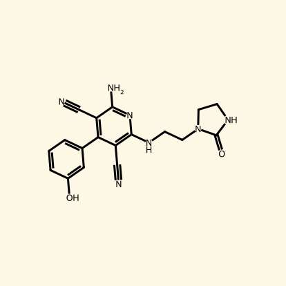 N#Cc1c(N)nc(NCCN2CCNC2=O)c(C#N)c1-c1cccc(O)c1